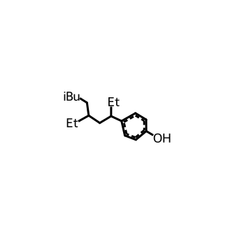 CCC(C)CC(CC)CC(CC)c1ccc(O)cc1